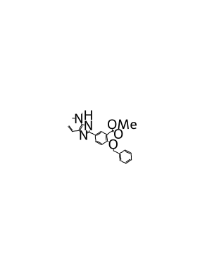 C=Cc1nc(-c2ccc(OCc3ccccc3)c(C(=O)OC)c2)[nH]c1N(C)C